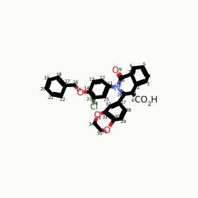 O=C(O)C1c2ccccc2C(=O)N(c2ccc(OCc3ccccc3)c(Cl)c2)C1c1ccc2c(c1)OCCO2